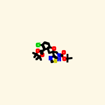 CC(C)(C)OC(=O)NCC1(c2cscn2)Cc2c(ccc(Cl)c2B2OC(C)(C)C(C)(C)O2)O1